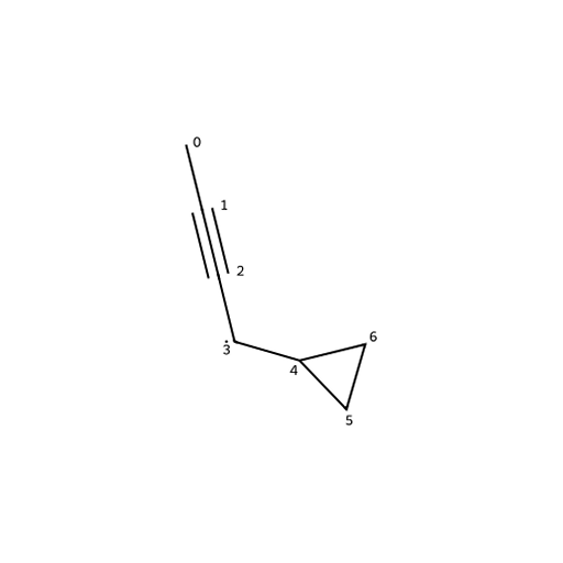 CC#C[CH]C1CC1